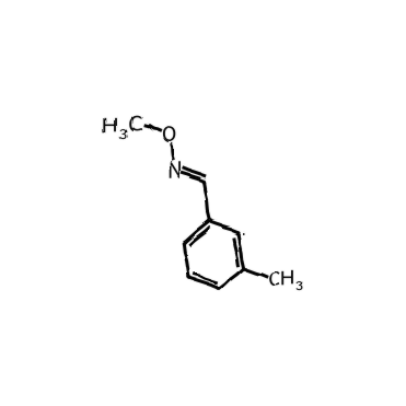 CO/N=C/c1[c]c(C)ccc1